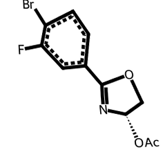 CC(=O)O[C@H]1COC(c2ccc(Br)c(F)c2)=N1